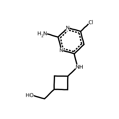 Nc1nc(Cl)cc(NC2CC(CO)C2)n1